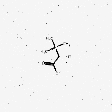 C[N+](C)(C)CC(=O)[O-].[P]